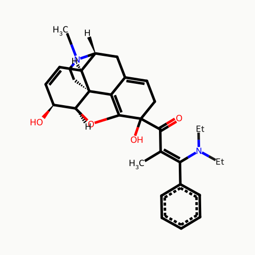 CCN(CC)/C(=C(/C)C(=O)C1(O)CC=C2C[C@@H]3[C@@H]4C=C[C@H](O)[C@@H]5OC1=C2[C@]45CCN3C)c1ccccc1